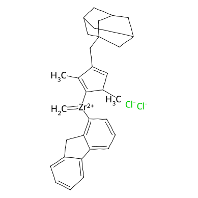 [CH2]=[Zr+2]([C]1=C(C)C(CC23CC4CC(CC(C4)C2)C3)=CC1C)[c]1cccc2c1Cc1ccccc1-2.[Cl-].[Cl-]